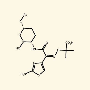 CC(=O)C[C@@H]1CC[C@H](NC(=O)/C(=N\OC(C)(C)C(=O)O)c2csc(N)n2)B(O)O1